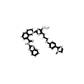 Cn1ccnc1-c1ccc(OCCCc2sc(N3CCc4cccc(C(=O)Nc5nc6ccccc6s5)c4C3)nc2C(=O)O)cc1